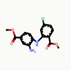 COC(=O)c1ccc(Nc2cc(Cl)ccc2C(=O)OC)c(N)c1